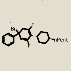 CCCCC[C@H]1CC[C@H](C2=C(F)CC(Br)(c3ccccc3)C=C2F)CC1